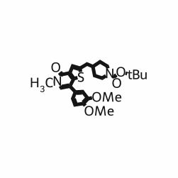 COc1ccc(-c2cn(C)c(=O)c3cc(CC4CCN(C(=O)OC(C)(C)C)CC4)sc23)cc1OC